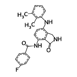 Cc1cccc(Nc2ccc(NC(=O)c3ccc(F)cc3)c3c2CNC3=O)c1C